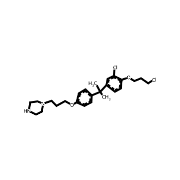 CC(C)(c1ccc(OCCCN2CCNCC2)cc1)c1ccc(OCCCCl)c(Cl)c1